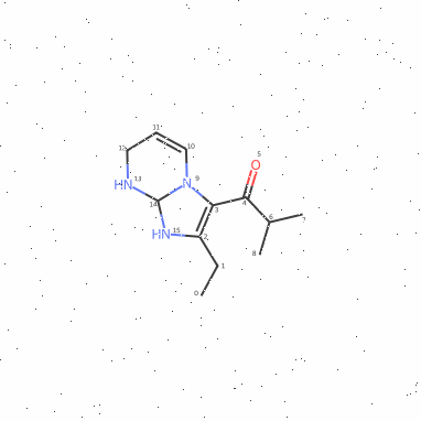 CCC1=C(C(=O)C(C)C)N2C=CCNC2N1